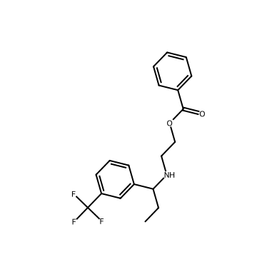 CCC(NCCOC(=O)c1ccccc1)c1cccc(C(F)(F)F)c1